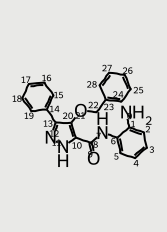 Nc1ccccc1NC(=O)c1[nH]nc(-c2ccccc2)c1OCc1ccccc1